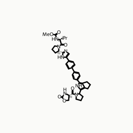 COC(=O)N[C@H](C(=O)N1CCC[C@H]1c1ncc(-c2ccc(-c3ccc(-c4[nH]c(C5CCCN5C(=O)[C@@H]5COC(=O)N5)c5c4CCC5)cc3)cc2)[nH]1)C(C)C